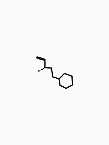 C=C[C@H](O)CCC1CCCCC1